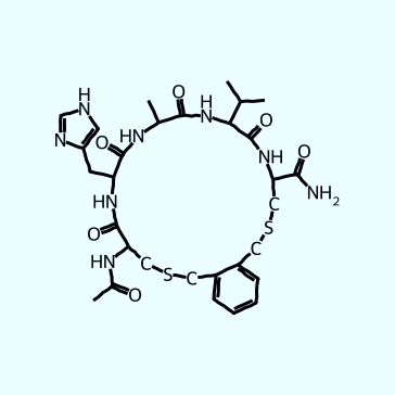 CC(=O)NC1CSCc2ccccc2CSCC(C(N)=O)NC(=O)C(C(C)C)NC(=O)C(C)NC(=O)C(Cc2c[nH]cn2)NC1=O